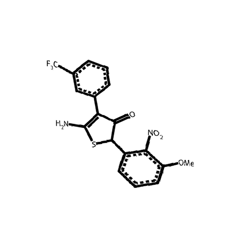 COc1cccc(C2SC(N)=C(c3cccc(C(F)(F)F)c3)C2=O)c1[N+](=O)[O-]